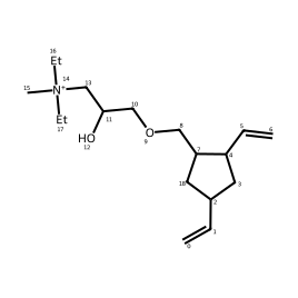 C=CC1CC(C=C)C(COCC(O)C[N+](C)(CC)CC)C1